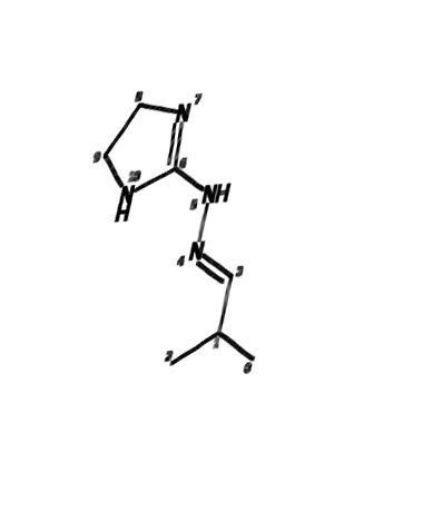 CC(C)/C=N/NC1=NCCN1